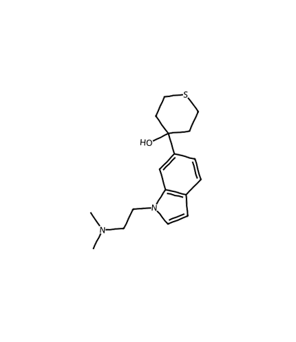 CN(C)CCn1ccc2ccc(C3(O)CCSCC3)cc21